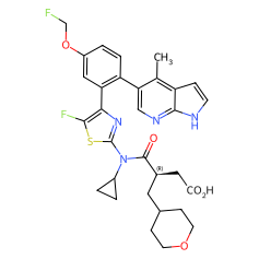 Cc1c(-c2ccc(OCF)cc2-c2nc(N(C(=O)[C@@H](CC(=O)O)CC3CCOCC3)C3CC3)sc2F)cnc2[nH]ccc12